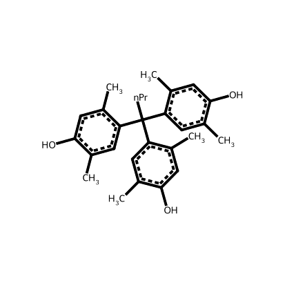 CCCC(c1cc(C)c(O)cc1C)(c1cc(C)c(O)cc1C)c1cc(C)c(O)cc1C